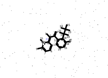 C=C(/C(C)=C1\C=CC=C(C)N1C)c1cccc(F)c1C(C)(C)C(C)(C)C